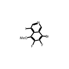 COc1c(F)c(F)c(Br)c2cncc(I)c12